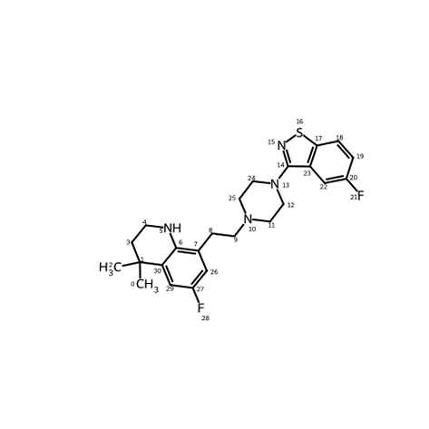 CC1(C)CCNc2c(CCN3CCN(c4nsc5ccc(F)cc45)CC3)cc(F)cc21